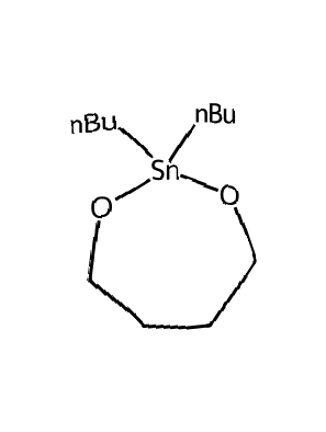 CCC[CH2][Sn]1([CH2]CCC)[O]CCCC[O]1